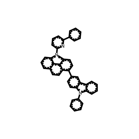 c1ccc(-c2cccc(-n3c4cccc5ccc6c(-c7ccc8c(c7)c7ccccc7n8-c7ccccc7)ccc3c6c54)n2)cc1